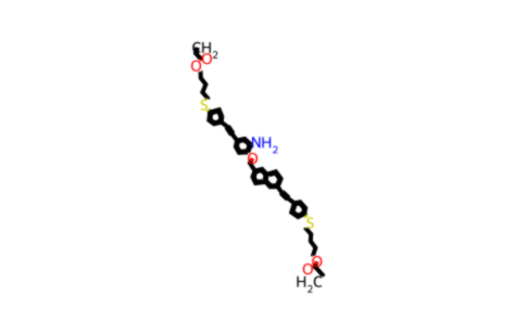 C=CC(=O)OCCCCCSc1ccc(C#Cc2ccc(OCc3ccc4cc(C#Cc5ccc(SCCCCCOC(=O)C=C)cc5)ccc4c3)c(N)c2)cc1